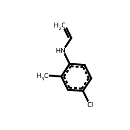 C=CNc1ccc(Cl)cc1C